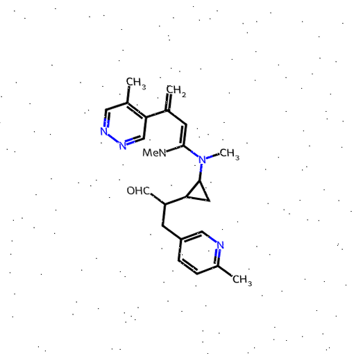 C=C(/C=C(\NC)N(C)C1CC1C(C=O)Cc1ccc(C)nc1)c1cnncc1C